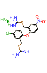 Br.Br.N=C(N)SCc1cc(Cl)ccc1Oc1ccc([N+](=O)[O-])cc1CSC(=N)N